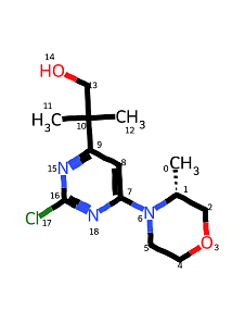 C[C@@H]1COCCN1c1cc(C(C)(C)CO)nc(Cl)n1